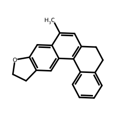 Cc1cc2c(c3cc4c(cc13)OCC4)-c1ccccc1CC2